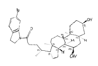 C[C@H](CCC(=O)N1CCc2ccc(Br)cc21)[C@H]1CC[C@H]2[C@@H]3[C@H](O)C[C@@H]4C[C@H](O)CC[C@]4(C)[C@H]3CC[C@]12C